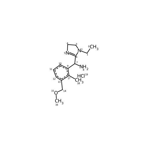 CCN1CCN=C1C(N)c1cccc(COC)c1C.Cl